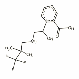 CC(C)(CNCC(O)c1ccccc1C(=O)O)C(F)(F)F